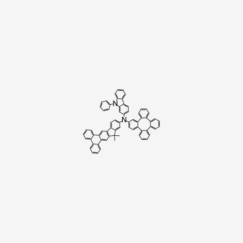 CC1(C)c2cc(N(c3ccc4c(c3)-c3ccccc3-c3ccccc3-c3ccccc3-4)c3ccc4c5ccccc5n(-c5ccccc5)c4c3)ccc2-c2cc3c4ccccc4c4ccccc4c3cc21